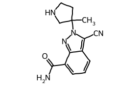 CC1(n2nc3c(C(N)=O)cccc3c2C#N)CCNC1